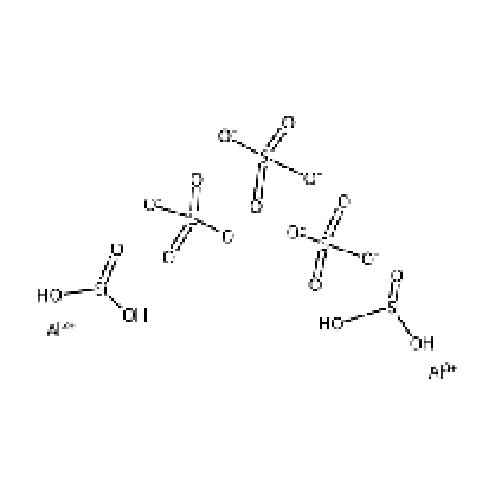 O=S(=O)([O-])[O-].O=S(=O)([O-])[O-].O=S(=O)([O-])[O-].O=[Si](O)O.O=[Si](O)O.[Al+3].[Al+3]